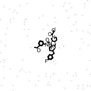 COCC(=O)N1CC[C@@H](CN2CCCC(Cc3ccc(F)cc3)C2)[C@@H](NC(=O)Nc2cccc(C(C)=O)c2)C1